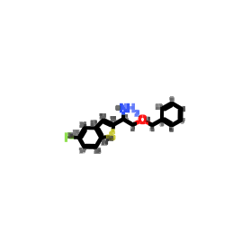 NC(COCc1ccccc1)c1cc2cc(F)ccc2s1